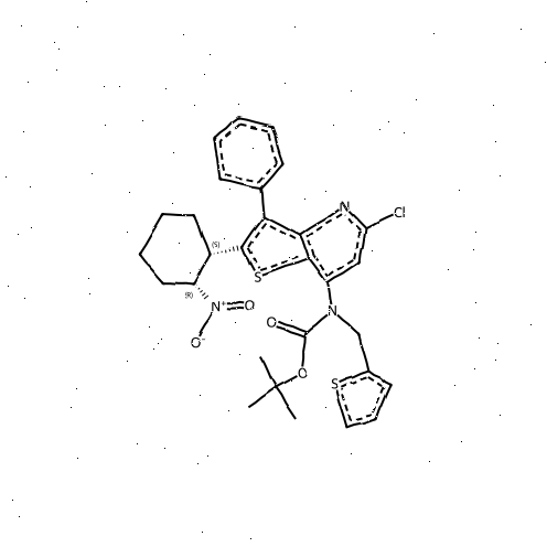 CC(C)(C)OC(=O)N(Cc1cccs1)c1cc(Cl)nc2c(-c3ccccc3)c([C@H]3CCCC[C@H]3[N+](=O)[O-])sc12